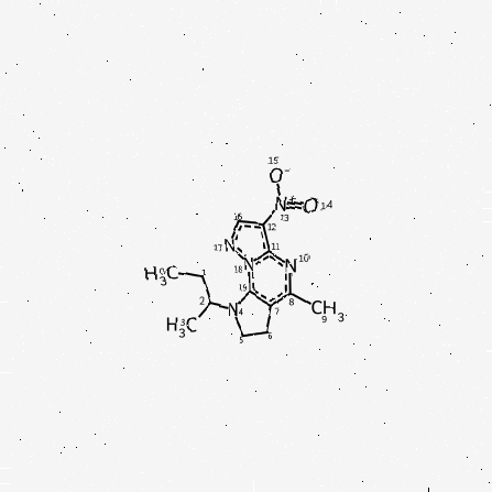 CCC(C)N1CCc2c(C)nc3c([N+](=O)[O-])cnn3c21